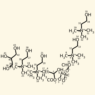 CC(=O)[O-].CC(=O)[O-].CCC(O)C(=O)[O-].C[N+](C)(C)CCO.C[N+](C)(C)CCO.C[N+](C)(C)CCO.C[N+](C)(C)CCO.O=C[O-].OCC(O)CO